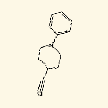 C#CC1CCN(c2ccccc2)CC1